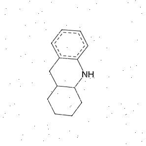 c1ccc2c(c1)CC1CCCCC1N2